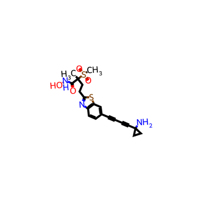 CC(CCc1nc2ccc(C#CC#CC3(N)CC3)cc2s1)(C(=O)NO)S(C)(=O)=O